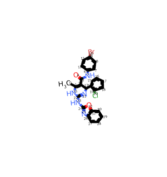 CC1=C(C(=O)Nc2ccc(Br)cc2)C(c2ccccc2Cl)N=C(Nc2nc3ccccc3o2)N1